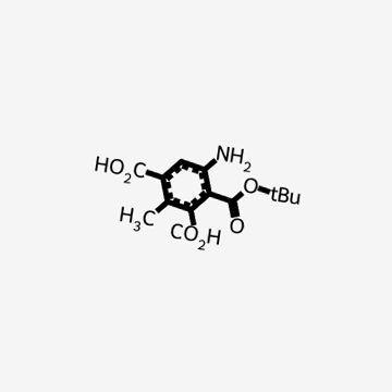 Cc1c(C(=O)O)cc(N)c(C(=O)OC(C)(C)C)c1C(=O)O